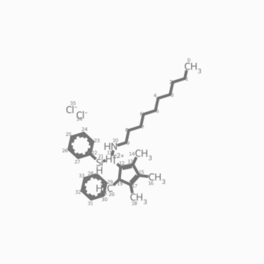 CCCCCCCCCC[NH][Hf+2]([C]1=C(C)C(C)=C(C)C1C)[SiH](c1ccccc1)c1ccccc1.[Cl-].[Cl-]